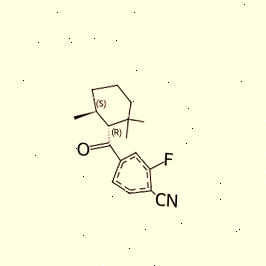 C[C@H]1CCCC(C)(C)[C@@H]1C(=O)c1ccc(C#N)c(F)c1